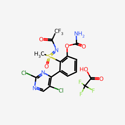 CS(=O)(=NC(=O)C(F)(F)F)c1c(OC(N)=O)cccc1-c1nc(Cl)ncc1Cl.O=C(O)C(F)(F)F